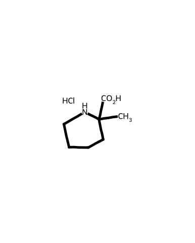 CC1(C(=O)O)CCCCN1.Cl